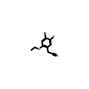 CCOc1cc(Br)c(F)cc1CC#N